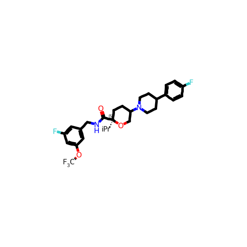 CC(C)[C@]1(C(=O)NCc2cc(F)cc(OC(F)(F)F)c2)CCC(N2CCC(c3ccc(F)cc3)CC2)CO1